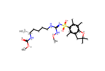 Cc1c(C)c(S(=O)(=O)N=C(NCCCC[C@H](NC(=O)OC(C)(C)C)C(=O)O)NOC(C)(C)C)c(C)c2c1OC(C)(C)C2